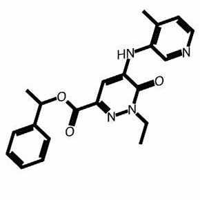 CCn1nc(C(=O)OC(C)c2ccccc2)cc(Nc2cnccc2C)c1=O